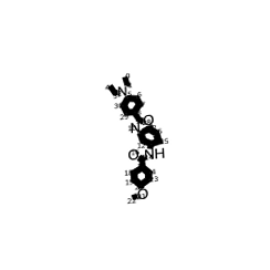 CCN(CC)c1ccc(-c2nc3cc(NC(=O)c4ccc(OC)cc4)ccc3o2)cc1